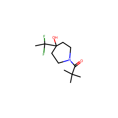 CC(C)(C)C(=O)N1CCC(O)(C(C)(F)F)CC1